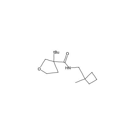 CC1(CNC(=O)C2(C(C)(C)C)CCOC2)CCC1